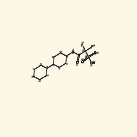 O=C(OC1CCC(C2CCCCC2)CC1)C(F)(F)S(=O)(=O)O